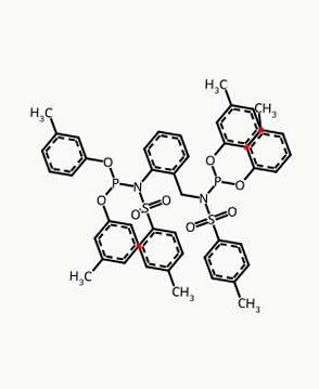 Cc1ccc(S(=O)(=O)N(Cc2ccccc2N(P(Oc2cccc(C)c2)Oc2cccc(C)c2)S(=O)(=O)c2ccc(C)cc2)P(Oc2cccc(C)c2)Oc2cccc(C)c2)cc1